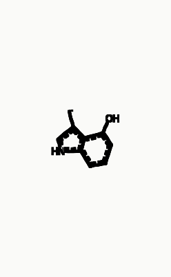 [CH2]c1c[nH]c2cccc(O)c12